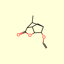 C=COC1C2CC3C1OC(=O)C3C2C